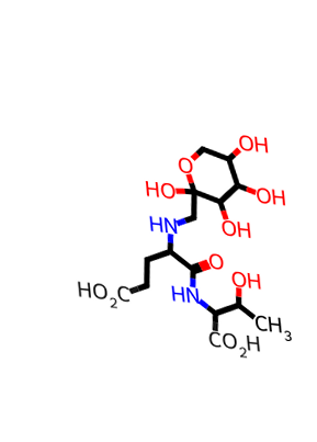 CC(O)C(NC(=O)C(CCC(=O)O)NCC1(O)OCC(O)C(O)C1O)C(=O)O